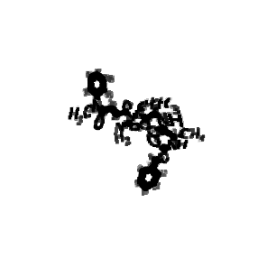 C[C@H](NC(=O)OCc1ccccc1)C(=O)N[C@@H](C)C(=O)N(C)N(C(N)=O)C(=O)/C=C/C(=O)N(C)c1ccccc1